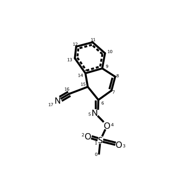 CS(=O)(=O)ON=C1C=Cc2ccccc2C1C#N